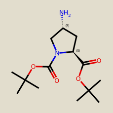 CC(C)(C)OC(=O)[C@@H]1C[C@@H](N)CN1C(=O)OC(C)(C)C